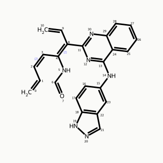 C=C/C=C\C(NC=O)=C(/C=C)c1nc(Nc2ccc3[nH]ncc3c2)c2ccccc2n1